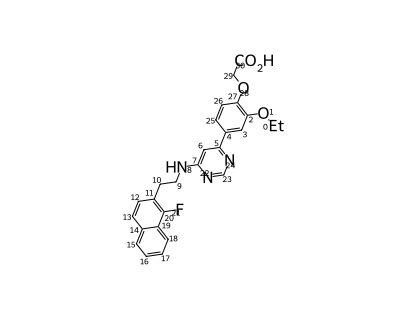 CCOc1cc(-c2cc(NCCc3ccc4ccccc4c3F)ncn2)ccc1OCC(=O)O